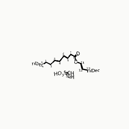 CCCCCCCCCCCCCCCCCC(=O)OCCCCCCCCCCCC.O=S(=O)(O)O.[NaH]